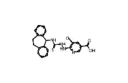 O=C(O)c1cnc(NNC(=S)NC2c3ccccc3CCc3ccccc32)c(Cl)c1